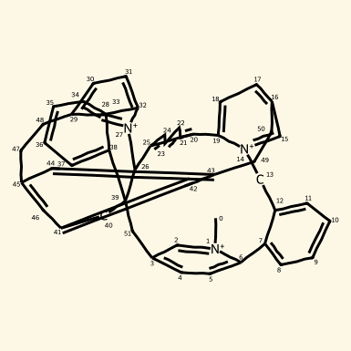 C[n+]1cc2ccc1-c1ccccc1C[n+]1cc3ccc1-c1ccccc1C1[n+]4cc5ccc4-c4ccccc4C1(Cc1cc(cc(c1)CC5)CC3)C2